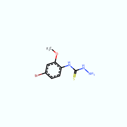 NNC(=S)Nc1ccc(Br)cc1OC(F)(F)F